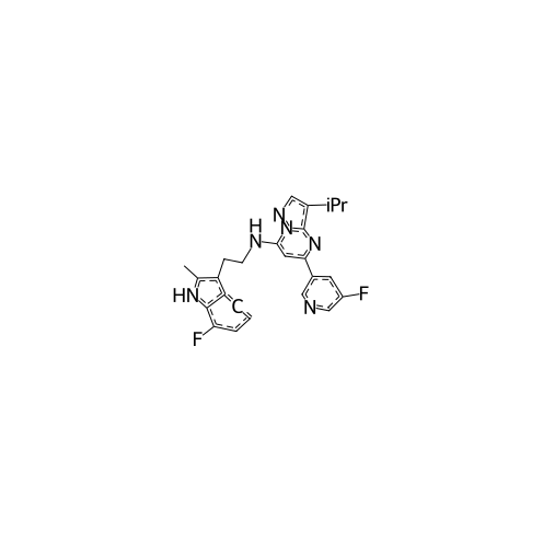 Cc1[nH]c2c(F)cccc2c1CCNc1cc(-c2cncc(F)c2)nc2c(C(C)C)cnn12